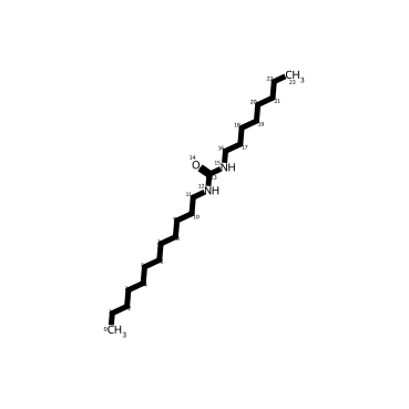 CCCCCCCCCCCCNC(=O)NCCCCCCCC